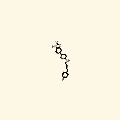 O=c1[nH]c2ccc(C3CCC(NCCCCc4ccc(F)cc4)CC3)cc2o1